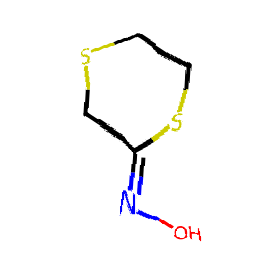 O/N=C1/CSCCS1